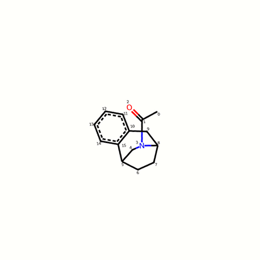 CC(=O)N1CC2CCC1Cc1ccccc12